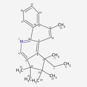 CCC1(C)c2c(cnc3c2cc(C)c2ccccc23)C(C)(C)C1(C)C